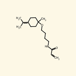 C=CC(=O)NCCCCOC1(C)CCC(=C(C)C)CC1